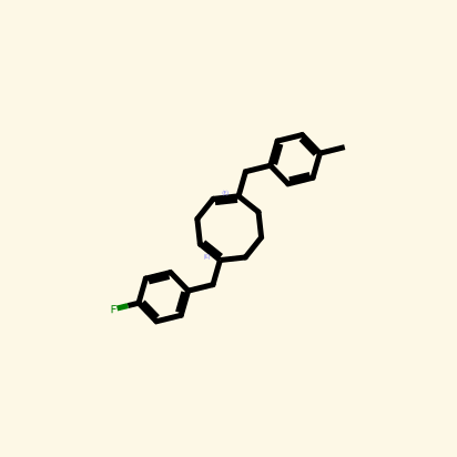 Cc1ccc(C/C2=C/C/C=C(/Cc3ccc(F)cc3)CCC2)cc1